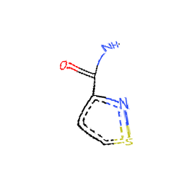 [NH]C(=O)c1ccsn1